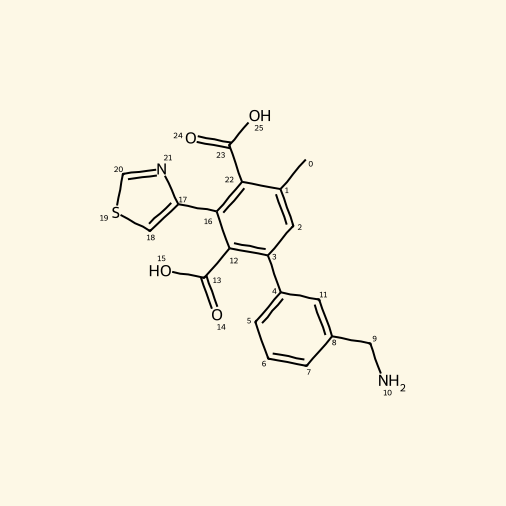 Cc1cc(-c2cccc(CN)c2)c(C(=O)O)c(-c2cscn2)c1C(=O)O